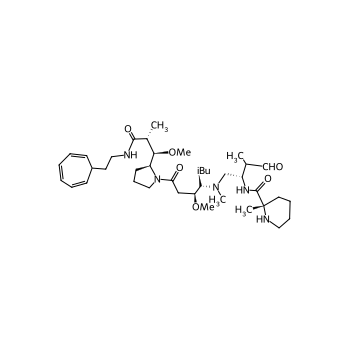 CC[C@H](C)[C@@H]([C@H](CC(=O)N1CCC[C@H]1[C@H](OC)[C@@H](C)C(=O)NCCC1C=CC=CC=C1)OC)N(C)C[C@@H](NC(=O)[C@]1(C)CCCCN1)C(C)C=O